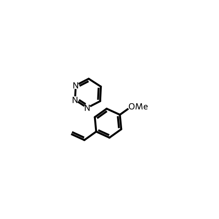 C=Cc1ccc(OC)cc1.c1cnnnc1